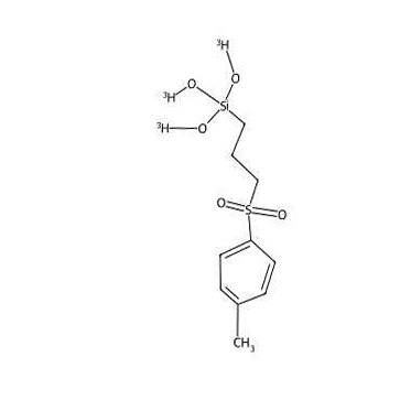 [3H]O[Si](CCCS(=O)(=O)c1ccc(C)cc1)(O[3H])O[3H]